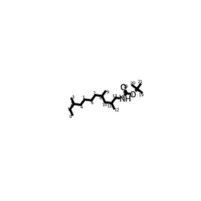 CCC(C)CCCCC(C)CC(C)CNC(=O)OC(C)(C)C